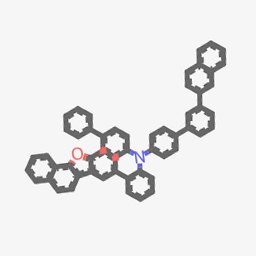 c1ccc(-c2ccc(N(c3ccc(-c4cccc(-c5ccc6ccccc6c5)c4)cc3)c3ccccc3-c3ccc4oc5c6ccccc6ccc5c4c3)cc2)cc1